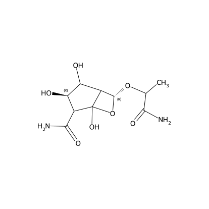 CC(O[C@@H]1OC2(O)C1C(O)[C@H](O)C2C(N)=O)C(N)=O